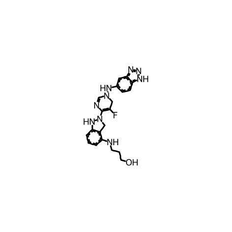 OCCCNc1cccc2c1CN(C1=C(F)CN(Nc3ccc4[nH]nnc4c3)C=N1)N2